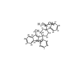 Cc1c(C2(c3ccccc3)CCC(c3ccccc3)(N(C)C)CC2)[nH]c2ccccc12